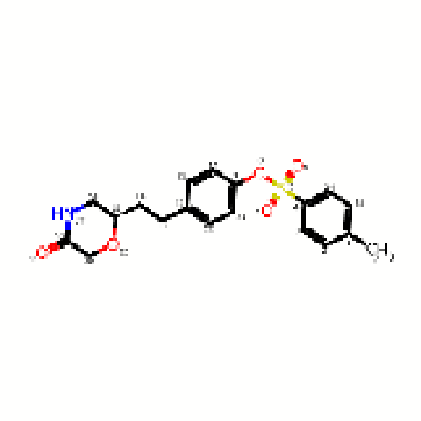 Cc1ccc(S(=O)(=O)Oc2ccc(CC[C@@H]3CNC(=O)CO3)cc2)cc1